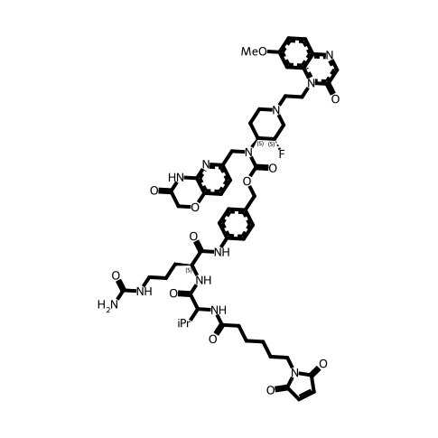 COc1ccc2ncc(=O)n(CCN3CC[C@H](N(Cc4ccc5c(n4)NC(=O)CO5)C(=O)OCc4ccc(NC(=O)[C@H](CCCNC(N)=O)NC(=O)C(NC(=O)CCCCCN5C(=O)C=CC5=O)C(C)C)cc4)[C@@H](F)C3)c2c1